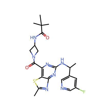 Cc1nc2nc(NC(C)c3cncc(F)c3)nc(C(=O)N3CC(NC(=O)C(C)(C)C)C3)c2s1